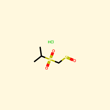 CC(C)S(=O)(=O)C[S+]=O.Cl